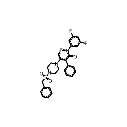 O=c1c(-c2ccccc2)c(N2CCN(S(=O)(=O)Cc3ccccc3)CC2)cnn1-c1cc(F)cc(F)c1